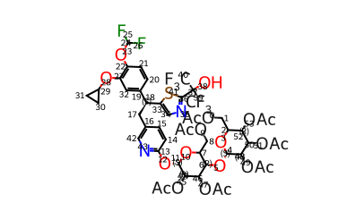 CC(=O)OCC1O[C@@H](O[C@@H]2C(COC(C)=O)O[C@@H](Oc3ccc(C[C@@H](c4ccc(OC(F)F)c(OC5CC5)c4)c4cnc(C(O)(C(F)(F)F)C(F)(F)F)s4)cn3)[C@H](OC(C)=O)C2OC(C)=O)[C@H](OC(C)=O)C(OC(C)=O)[C@@H]1OC(C)=O